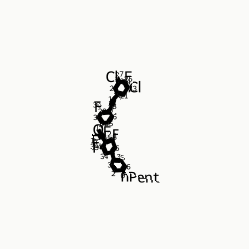 CCCCCc1ccc(-c2cc(F)c(C(F)(F)Oc3ccc(C#Cc4cc(Cl)c(F)c(Cl)c4)c(F)c3)c(F)c2)cc1